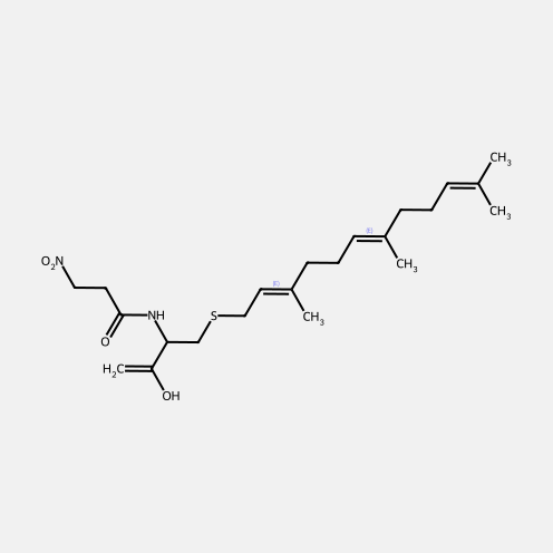 C=C(O)C(CSC/C=C(\C)CC/C=C(\C)CCC=C(C)C)NC(=O)CC[N+](=O)[O-]